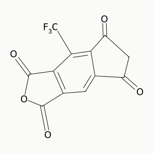 O=C1CC(=O)c2c1cc1c(c2C(F)(F)F)C(=O)OC1=O